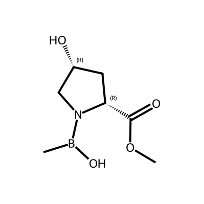 COC(=O)[C@H]1C[C@@H](O)CN1B(C)O